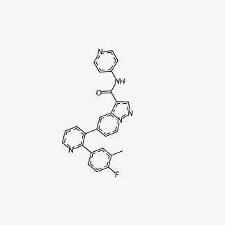 Cc1cc(-c2ncccc2-c2ccn3ncc(C(=O)Nc4ccncc4)c3c2)ccc1F